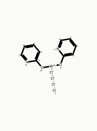 [Cl-].[Cl-].[Cl-].[Cl-].c1ccc([O][W+4][O]c2ccccn2)nc1